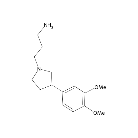 COc1ccc(C2CCN(CCCN)C2)cc1OC